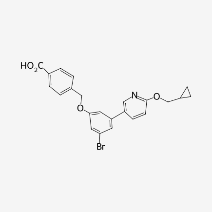 O=C(O)c1ccc(COc2cc(Br)cc(-c3ccc(OCC4CC4)nc3)c2)cc1